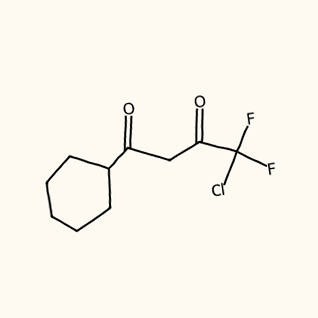 O=C(CC(=O)C(F)(F)Cl)C1CCCCC1